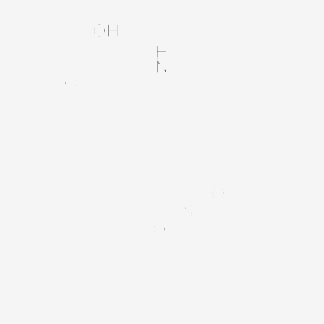 O=C(O)c1cc2c(CS(=O)(=O)c3ccccc3)cccc2[nH]1